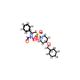 O=CN(O)C(CS(=O)(=O)N1CCC(OCC2CCCCC2)CC1)c1ccccc1